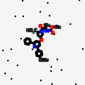 COc1ccc(-c2cc(O[C@@H]3C[C@@H](C(=O)O)N(C(=O)C(NC(=O)OC(C)(C)C)C(C)(C)C)C3)cc(-c3ccccc3)n2)cc1